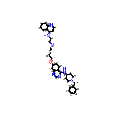 C(=C=NCCNc1ccnc2ccccc12)=CCOc1ccc2c(NC3CCN(Cc4ccccc4)CC3)ncnc2c1